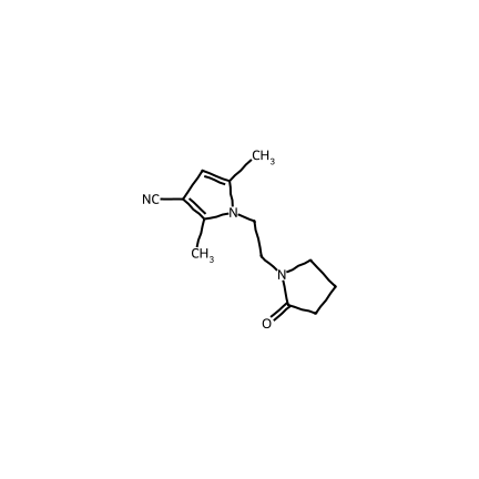 Cc1cc(C#N)c(C)n1CCN1CCCC1=O